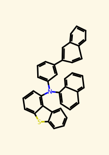 c1cc(-c2ccc3ccccc3c2)cc(N(c2cccc3ccccc23)c2cccc3sc4ccccc4c23)c1